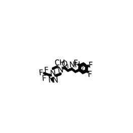 C[C@H]1Cn2c(nnc2C(F)(F)F)CN1C(=O)C[C@H](N)Cc1cc(F)c(F)cc1F